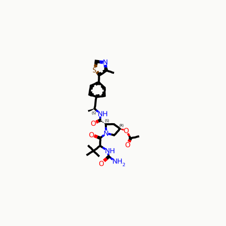 CC(=O)O[C@@H]1C[C@@H](C(=O)N[C@@H](C)c2ccc(-c3scnc3C)cc2)N(C(=O)C(NC(N)=O)C(C)(C)C)C1